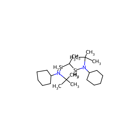 CC([SiH2]N(C1CCCCC1)C(C)(C)C)[SiH2]N(C1CCCCC1)C(C)(C)C